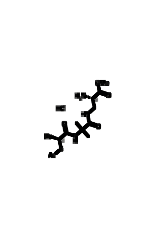 COC(=O)[C@@H](N)CNC(=O)C(C)(C)NC(=O)[C@@H](SC(C)=O)C(C)C.Cl